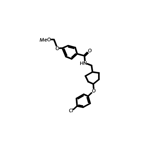 COCOc1ccc(C(=O)NCC2CCC(Oc3ccc(Cl)cc3)CC2)cc1